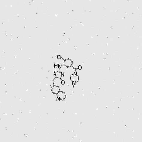 CN1CCN(C(=O)c2ccc(Cl)c(NC3=NC(=O)C(=Cc4ccc5ncccc5c4)S3)c2)CC1